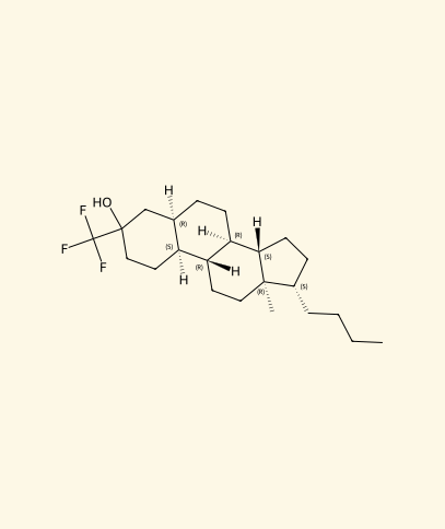 CCCC[C@H]1CC[C@H]2[C@@H]3CC[C@@H]4CC(O)(C(F)(F)F)CC[C@@H]4[C@H]3CC[C@]12C